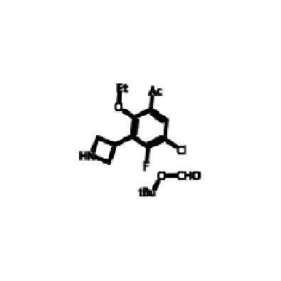 CC(C)(C)OC=O.CCOc1c(C(C)=O)cc(Cl)c(F)c1C1CNC1